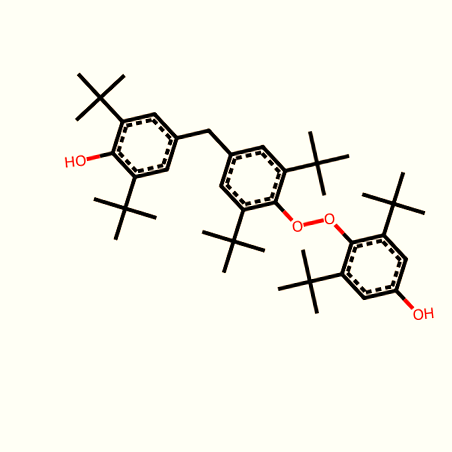 CC(C)(C)c1cc(Cc2cc(C(C)(C)C)c(OOc3c(C(C)(C)C)cc(O)cc3C(C)(C)C)c(C(C)(C)C)c2)cc(C(C)(C)C)c1O